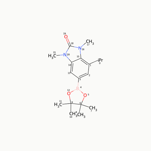 CC(C)c1cc(B2OC(C)(C)C(C)(C)O2)cc2c1n(C)c(=O)n2C